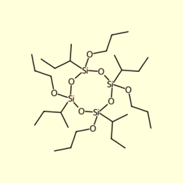 CCCO[Si]1(C(C)CC)O[Si](OCCC)(C(C)CC)O[Si](OCCC)(C(C)CC)O[Si](OCCC)(C(C)CC)O1